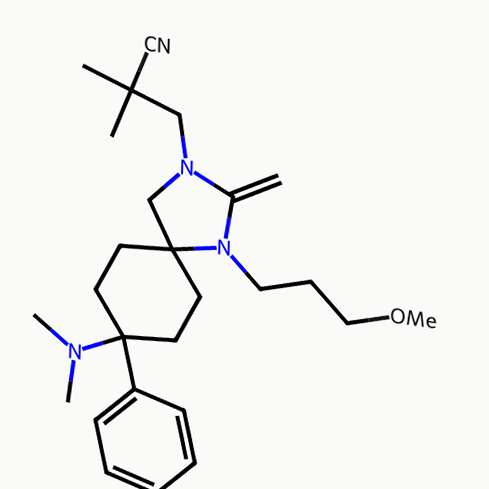 C=C1N(CC(C)(C)C#N)CC2(CCC(c3ccccc3)(N(C)C)CC2)N1CCCOC